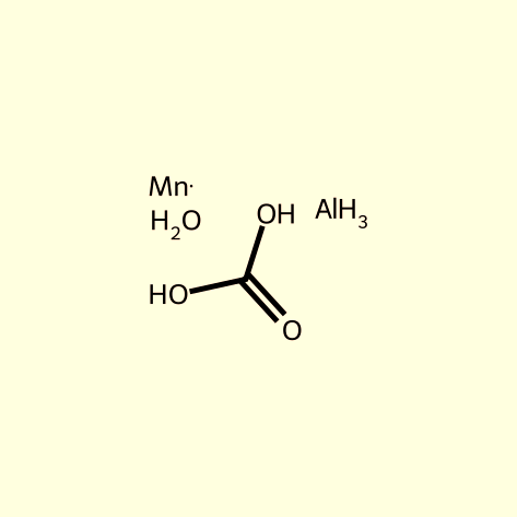 O.O=C(O)O.[AlH3].[Mn]